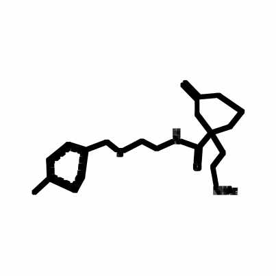 C=C1CCCC(CCNC(C)=O)(C(=O)NCCSCc2ccc(C)cc2)C1